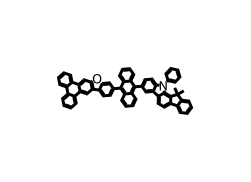 CC1(C)c2ccccc2-c2ccc3c4cc(-c5c6ccccc6c(-c6ccc7c(c6)oc6cc8c9ccccc9c9ccccc9c8cc67)c6ccccc56)ccc4n(-c4ccccc4)c3c21